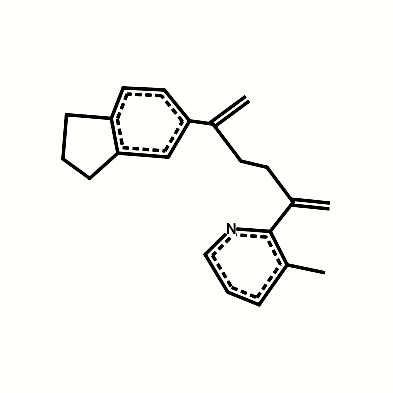 C=C(CCC(=C)c1ncccc1C)c1ccc2c(c1)CCC2